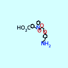 NCCc1ccc(OCCC2Oc3ccccc3N(Cc3cccc(C(=O)O)c3)C2=O)cc1